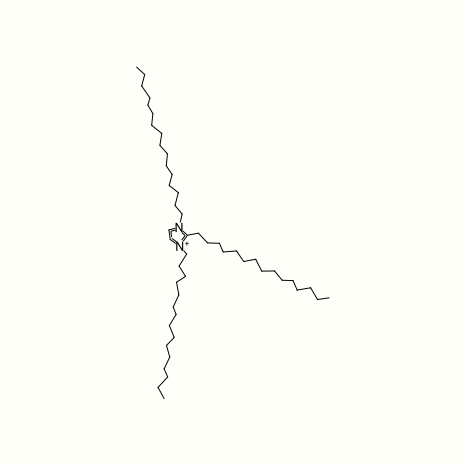 CCCCCCCCCCCCCCCCn1cc[n+](CCCCCCCCCCCCCCC)c1CCCCCCCCCCCCCCC